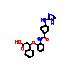 O=C(O)CC(Oc1ccccc1NC(=O)c1ccc(Nc2ncc[nH]2)cc1)c1ccccc1